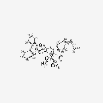 COc1nc(/C(=C\[C@H]2CCC3(C2)O[C@H](c2ccccc2)[C@@H](c2ccccc2)O3)c2ccc(SC3CC3)cc2)ccc1C